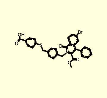 COC(=O)c1c(-c2ccccc2)c2cc(Br)ccc2c(=O)n1Cc1ccc(CSc2ccc(C(=O)O)cc2)cc1